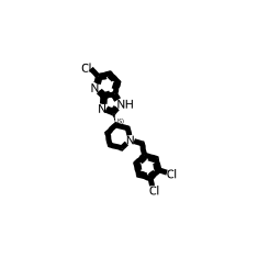 Clc1ccc2[nH]c([C@H]3CCCN(Cc4ccc(Cl)c(Cl)c4)C3)nc2n1